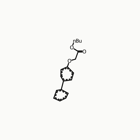 CCCCOC(=O)COc1ccc(-c2ccccc2)cc1